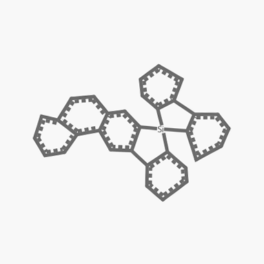 c1ccc2c(c1)-c1ccccc1[Si]21c2ccccc2-c2cc3c(ccc4ccccc43)cc21